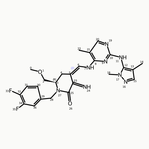 COC[C@H]1C/C(=C/Nc2nc(Nc3c(C)cnn3C)ncc2C)C(=N)C(=O)N1Cc1ccc(F)c(F)c1